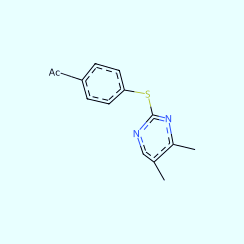 CC(=O)c1ccc(Sc2ncc(C)c(C)n2)cc1